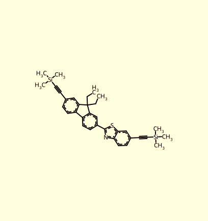 CCC1(CC)c2cc(C#C[Si](C)(C)C)ccc2-c2ccc(-c3nc4ccc(C#C[Si](C)(C)C)cc4s3)cc21